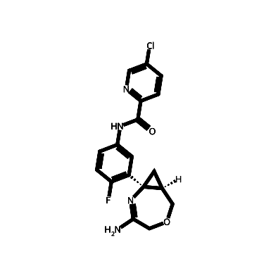 NC1=N[C@@]2(c3cc(NC(=O)c4ccc(Cl)cn4)ccc3F)C[C@H]2COC1